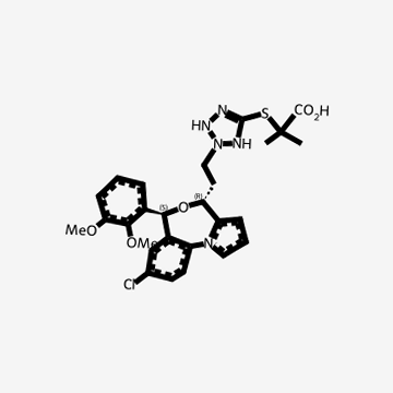 COc1cccc([C@H]2O[C@H](CCN3NN=C(SC(C)(C)C(=O)O)N3)c3cccn3-c3ccc(Cl)cc32)c1OC